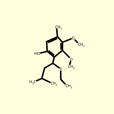 CCSC(CC(C)C)c1c(O)cc(C)c(OC)c1OC